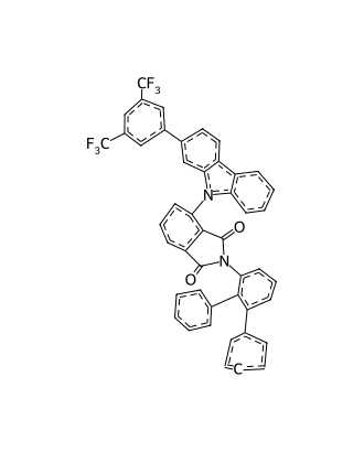 O=C1c2cccc(-n3c4ccccc4c4ccc(-c5cc(C(F)(F)F)cc(C(F)(F)F)c5)cc43)c2C(=O)N1c1cccc(-c2ccccc2)c1-c1ccccc1